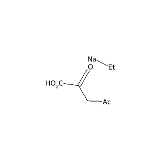 CC(=O)CC(=O)C(=O)O.C[CH2][Na]